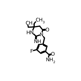 CCC1(CC)CC(=O)N(Cc2cc(F)cc(C(N)=O)c2)C(=N)N1